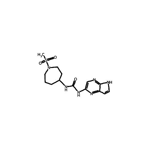 CS(=O)(=O)N1CCCC(NC(=O)Nc2cnc3[nH]ccc3n2)CC1